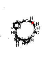 O=C1N[C@H]2C[C@H](C2)OCc2cccc(n2)Nc2cc([nH]n2)[C@H]2CC[C@H](C2)O1